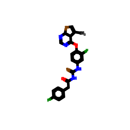 CC1=CSC2N=CN=C(Oc3ccc(NC(=S)NC(=O)Cc4ccc(F)cc4)cc3F)C12